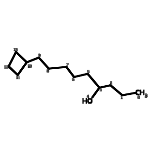 CCCC(O)CCCCCC1CCC1